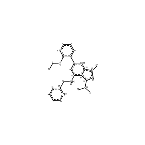 CCOc1ncccc1-c1cc(NCc2ccccn2)c2c(C(C)C)nn(C)c2n1